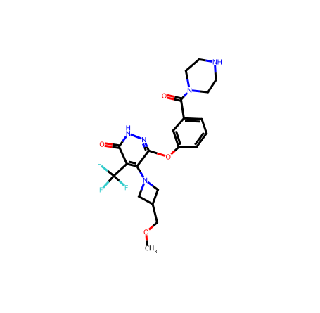 COCC1CN(c2c(Oc3cccc(C(=O)N4CCNCC4)c3)n[nH]c(=O)c2C(F)(F)F)C1